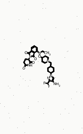 CCN(OC1CCN(CC2CCC(n3cc(N)c(C(F)F)n3)CC2)CC1)c1cccc2c1C(=O)N(C1CCC(=O)NC1=O)C2=O